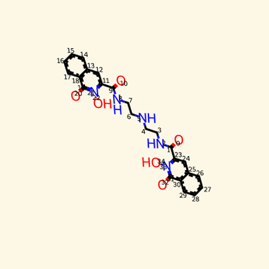 O=C(NCCNCCNC(=O)c1cc2ccccc2c(=O)n1O)c1cc2ccccc2c(=O)n1O